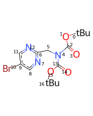 CC(C)(C)OC(=O)N(Cc1ncc(Br)cn1)C(=O)OC(C)(C)C